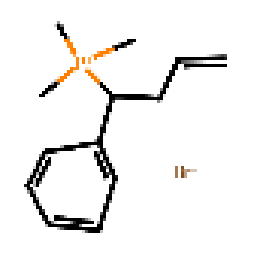 C=CCC(c1ccccc1)[P+](C)(C)C.[Br-]